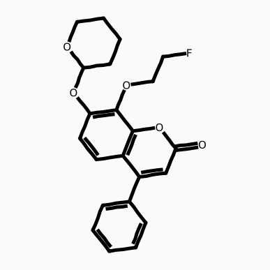 O=c1cc(-c2ccccc2)c2ccc(OC3CCCCO3)c(OCCF)c2o1